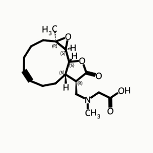 CN(CC(=O)O)C[C@@H]1C(=O)O[C@H]2[C@H]1CCC#CCCC[C@@]1(C)O[C@@H]21